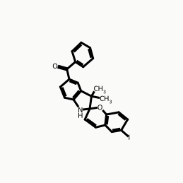 CC1(C)c2cc(C(=O)c3ccccc3)ccc2NC12C=Cc1cc(I)ccc1O2